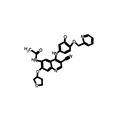 CC(=O)Nc1cc2c(Nc3ccc(OCc4ccccn4)c(Cl)c3)c(C#N)cnc2cc1OC1CCOC1